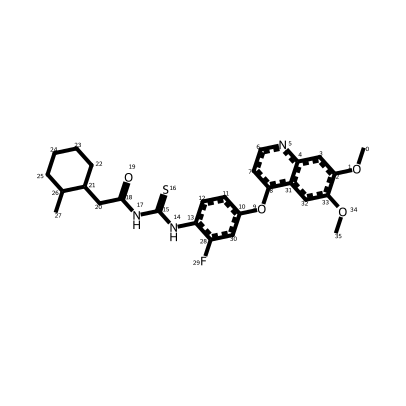 COc1cc2nccc(Oc3ccc(NC(=S)NC(=O)CC4CCCCC4C)c(F)c3)c2cc1OC